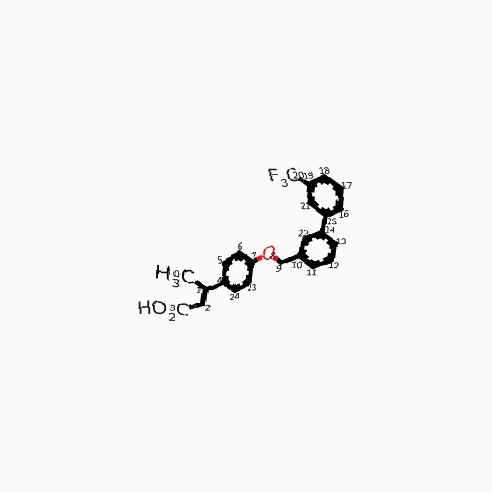 CC(CC(=O)O)c1ccc(OCc2cccc(-c3cccc(C(F)(F)F)c3)c2)cc1